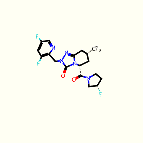 O=C([C@H]1C[C@@H](C(F)(F)F)Cc2nn(Cc3ncc(F)cc3F)c(=O)n21)N1CC[C@H](F)C1